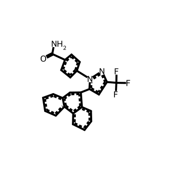 NC(=O)c1ccc(-n2nc(C(F)(F)F)cc2-c2cc3ccccc3c3ccccc23)cc1